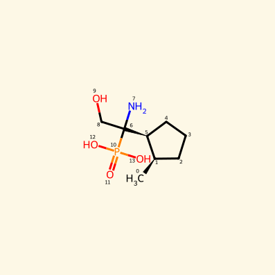 C[C@@H]1CCC[C@@H]1C(N)(CO)P(=O)(O)O